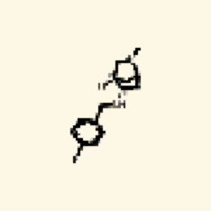 CN1C[C@@H]2CC1C[C@@H]2NCc1ccc(F)cc1